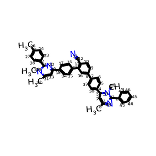 CC1=CC(c2ccc(-c3ccc(C#N)c(-c4ccc(C5=NC(c6ccc(C)cc6)N(C)C(C)=C5)cc4)c3)cc2)N(C)C(c2ccccc2)=N1